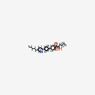 CCCCCc1ccc(-c2ccc(C3CCC(O)(C(=O)C(F)CCCC)CC3)cc2)nc1